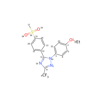 CCOc1ccc(-n2nc(C(F)(F)F)nc2-c2ccc(S(C)(=O)=O)cc2)cc1